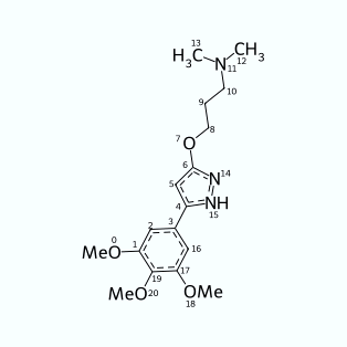 COc1cc(-c2cc(OCCCN(C)C)n[nH]2)cc(OC)c1OC